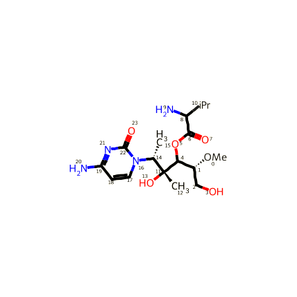 CO[C@H](CO)C(OC(=O)C(N)C(C)C)[C@](C)(O)[C@@H](C)n1ccc(N)nc1=O